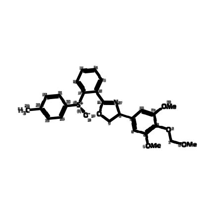 COCOc1c(OC)cc(C2COC(c3ccccc3[S@@+]([O-])c3ccc(C)cc3)=N2)cc1OC